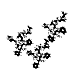 CC(C)c1nc(CN(C)C(=O)N[C@H](C(=O)N[C@@H](Cc2ccccc2)C[C@H](O)[C@H](Cc2ccccc2)NC(=O)OCc2cncs2)C(C)C)cs1.CC(C)c1nc(CN(C)C(=O)N[C@H](C(=O)N[C@@H](Cc2ccccc2)C[C@H](O)[C@H](Cc2ccccc2)NC(=O)OCc2cncs2)C(C)C)cs1.CC(C)c1nc(CN(C)C(=O)N[C@H](C(=O)N[C@@H](Cc2ccccc2)C[C@H](O)[C@H](Cc2ccccc2)NC(=O)OCc2cncs2)C(C)C)cs1